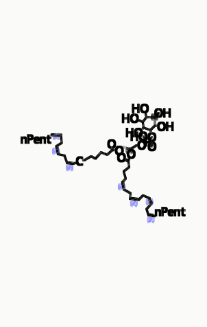 CCCCC/C=C\C/C=C\C/C=C\C/C=C\CCCC(=O)O[C@H](COC(=O)CCCCCC/C=C\C/C=C\C/C=C\CCCCC)COP(=O)(O)OC1C(O)C(O)C(O)[C@@H](O)C1O